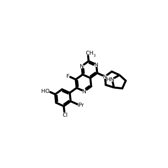 Cc1nc(N2CC3CCC(C2)N3)c2cnc(-c3cc(O)cc(Cl)c3C(C)C)c(F)c2n1